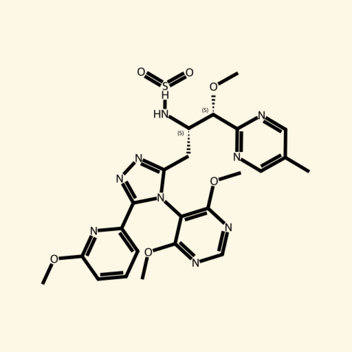 COc1cccc(-c2nnc(C[C@H](N[SH](=O)=O)[C@H](OC)c3ncc(C)cn3)n2-c2c(OC)ncnc2OC)n1